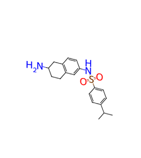 CC(C)c1ccc(S(=O)(=O)Nc2ccc3c(c2)CCC(N)C3)cc1